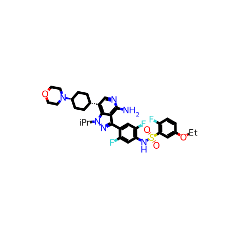 CCOc1ccc(F)c(S(=O)(=O)Nc2cc(F)c(-c3nn(C(C)C)c4c3c(N)ncc4[C@H]3CC[C@H](N4CCOCC4)CC3)cc2F)c1